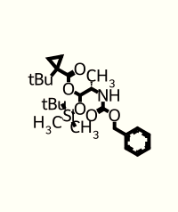 C[C@H](NC(=O)OCc1ccccc1)C(OC(=O)C1(C(C)(C)C)CC1)O[Si](C)(C)C(C)(C)C